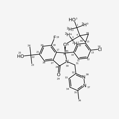 [2H]C([2H])(O)C1(C([2H])([2H])O[C@]2(c3ccc(Cl)cc3)c3c(F)cc(C(C)(C)O)cc3C(=O)N2Cc2ccc(C)nn2)CC1